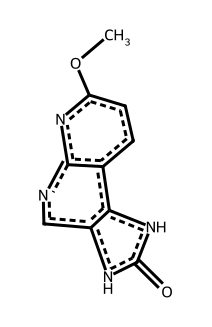 COc1ccc2c(ncc3[nH]c(=O)[nH]c32)n1